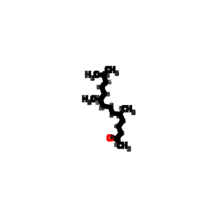 CC(=O)CCC[C@H](C)CCC[C@H](C)CCCC(C)C